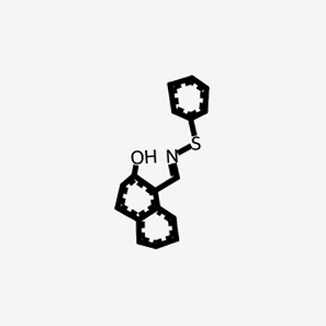 Oc1ccc2ccccc2c1/C=N/Sc1ccccc1